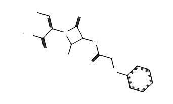 CC=C(C(=O)OC)N1C(=O)C(NC(=O)COc2ccccc2)C1F